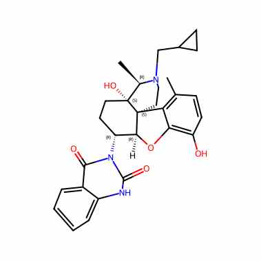 Cc1ccc(O)c2c1[C@]13CCN(CC4CC4)[C@H](C)[C@]1(O)CC[C@@H](n1c(=O)[nH]c4ccccc4c1=O)[C@@H]3O2